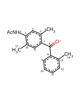 CC(=O)Nc1cc(C)c(C(=O)c2ccccc2C)cc1C